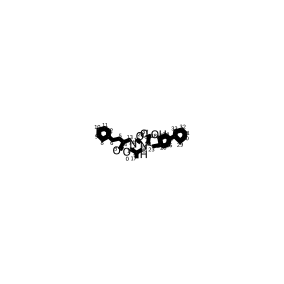 COC(=O)C(CCc1ccccc1)CN(CC(C)C)C(=O)N[C@@H](Cc1ccc(-c2ccccc2)cc1)C(=O)O